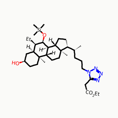 CCOC(=O)Cc1nnnn1CCC[C@@H](C)[C@H]1CC[C@H]2[C@@H]3[C@H](O[Si](C)(C)C)[C@H](CC)[C@@H]4C[C@H](O)CC[C@]4(C)[C@H]3CC[C@]12C